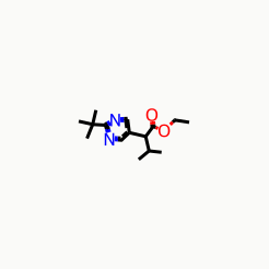 CCOC(=O)C(c1cnc(C(C)(C)C)nc1)C(C)C